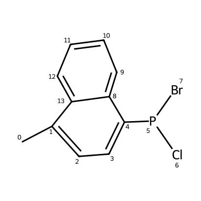 Cc1ccc(P(Cl)Br)c2ccccc12